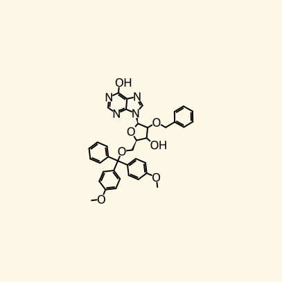 COc1ccc(C(OC[C@H]2O[C@@H](n3cnc4c(O)ncnc43)C(OCc3ccccc3)C2O)(c2ccccc2)c2ccc(OC)cc2)cc1